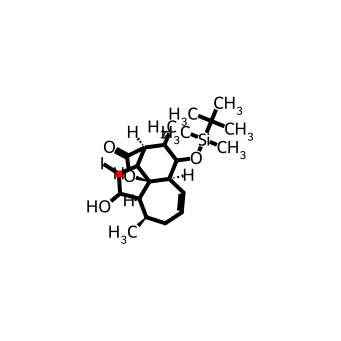 CC1C(O[Si](C)(C)C(C)(C)C)[C@H]2C=CC[C@@H](C)[C@@H]3C(O)C(I)[C@H]4[C@H]1C(=O)O[C@@]234